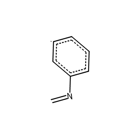 C=Nc1c[c]ccc1